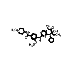 CCC1(O)C(=O)N(C)c2cnc(Nc3ccc(C(=O)NC4CCN(C)CC4)cc3OC)nc2N1C1CCCC1